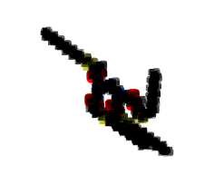 CCCCCCCCCCCCSSSCC(C)OC(=O)CCN(CCC(=O)OC(C)CSSSCCCCCCCCCCCC)CCN(C)CCN(CCC(=O)OC(C)CSSSCCCCCCCCCCCC)CCC(=O)OC(C)CSSSCCCCCCCCCCCC